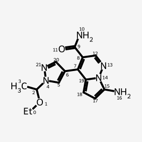 CCOC(C)n1cc(-c2c(C(N)=O)cnn3c(N)ccc23)cn1